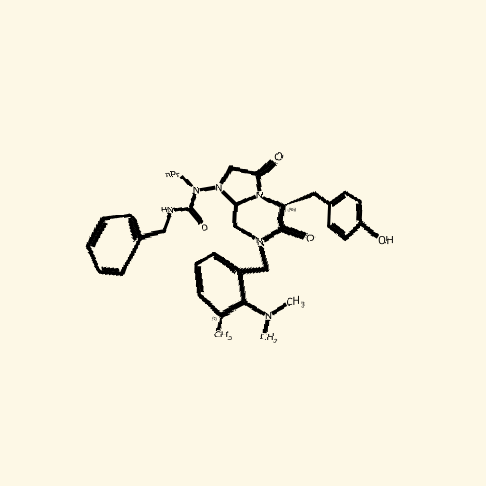 CCCN(C(=O)NCc1ccccc1)N1CC(=O)N2C1CN(CC1=CC=C[C@H](C)C1N(C)C)C(=O)[C@@H]2Cc1ccc(O)cc1